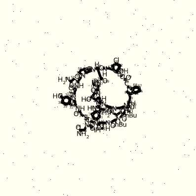 CCCC[C@H]1C(=O)N(C)[C@@H](CCCC)C(=O)N[C@@H](CC(C)C)C(=O)N[C@H](C(=O)NCC(N)=O)CSCC(=O)N[C@@H](Cc2ccc(O)cc2)C(=O)N(C)[C@@H](C)C(=O)N[C@@H](CC(N)=O)C(=O)N2CCC[C@H]2C(=O)N[C@H]2CNCc3cc(Cl)ccc3B(O)OC(=O)Cn3cc(c4ccccc43)C[C@H](NC(=O)[C@H](CCN)NC(=O)[C@H](Cc3c[nH]c4ccccc34)NC(=O)[C@@H]3C[C@@H](O)CN3C(=O)[C@H](CC(C)C)NC2=O)C(=O)N1C